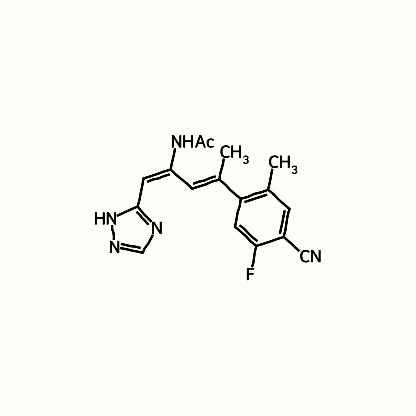 CC(=O)NC(=C/c1ncn[nH]1)/C=C(\C)c1cc(F)c(C#N)cc1C